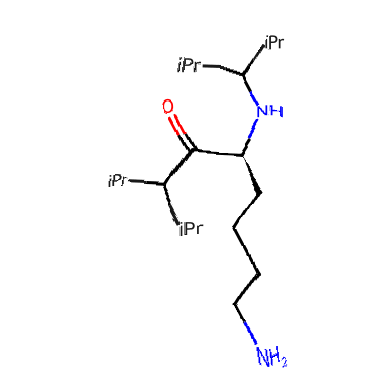 CC(C)C(N[C@@H](CCCCN)C(=O)C(C(C)C)C(C)C)C(C)C